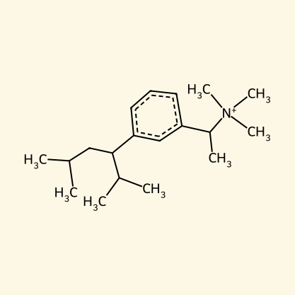 CC(C)CC(c1cccc(C(C)[N+](C)(C)C)c1)C(C)C